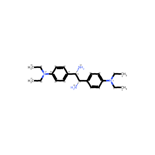 CCN(CC)c1ccc([C@H](N)[C@@H](N)c2ccc(N(CC)CC)cc2)cc1